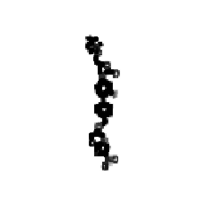 CC(C)(C)[Si](C)(C)OCC1CN(c2ccc(-c3ccc(COC4COc5nc([N+](=O)[O-])cn5C4)cc3)c(F)c2)C(=O)O1